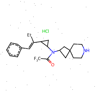 CCC(=Cc1ccccc1)C1CC1N(C(=O)C(F)(F)F)C1CC2(CCNCC2)C1.Cl